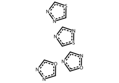 c1ncon1.c1ncsn1.c1nnco1.c1nncs1